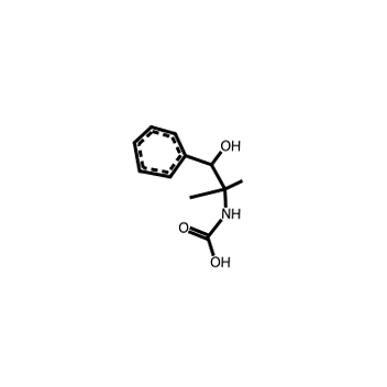 CC(C)(NC(=O)O)C(O)c1ccccc1